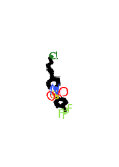 O=S(=O)(c1ccc(C(F)(F)F)cc1)N1CCC(C#CCCCCl)CC1